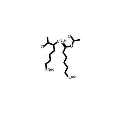 CCCCCCCCCCCCCCC(C(=O)O)C(C)Cl.CCCCCCCCCCCCCCCC(=O)OC(C)Cl